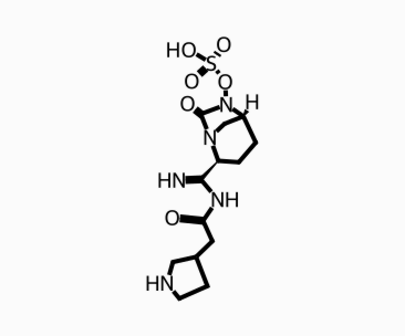 N=C(NC(=O)CC1CCNC1)[C@@H]1CC[C@@H]2CN1C(=O)N2OS(=O)(=O)O